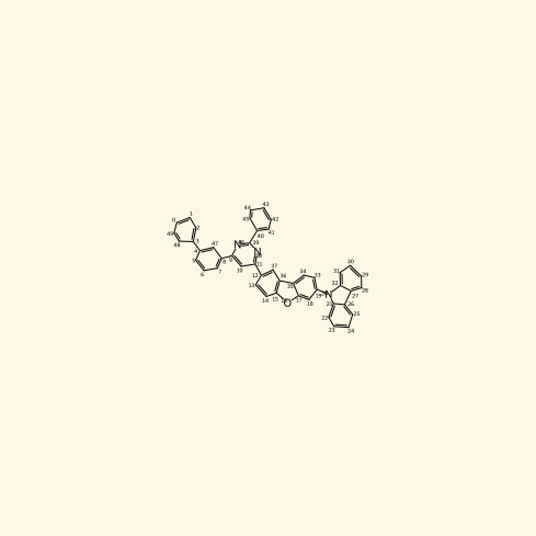 c1ccc(-c2cccc(-c3cc(-c4ccc5oc6cc(-n7c8ccccc8c8ccccc87)ccc6c5c4)nc(-c4ccccc4)n3)c2)cc1